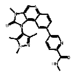 CNC(=O)c1ccc(-c2ccc3ncc4c(c3c2)n(-c2c(C)nn(C)c2C)c(=O)n4C)cn1